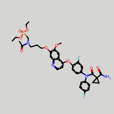 CCOP(=O)(CN(CCCOc1cc2nccc(Oc3ccc(N(C(=O)C4(C(N)=O)CC4)c4ccc(F)cc4)cc3F)c2cc1OC)C(C)=O)OCC